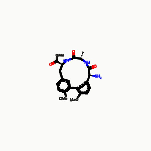 COC(=O)[C@@H]1Cc2ccc(OC)c(c2)-c2cc(ccc2OC)[C@H](N)C(=O)N[C@@H](C)C(=O)N1